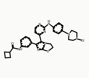 CCN1CCN(c2ccc(Nc3nccc(-c4c(-c5cccc(NC(=O)C6CCC6)c5)nc5n4CCS5)n3)cc2)CC1